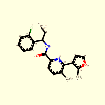 COc1ccc(C(=O)NC(CC(=O)O)c2ccccc2Cl)nc1-c1ccoc1C